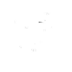 [2H]C1([2H])OCCCN[C@@H]1COc1nc(Cl)c(F)c2nc(Cl)[nH]c(=O)c12